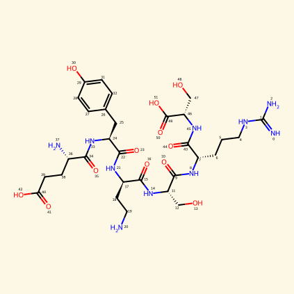 N=C(N)NCCC[C@H](NC(=O)[C@H](CO)NC(=O)[C@@H](CCN)NC(=O)[C@H](Cc1ccc(O)cc1)NC(=O)[C@@H](N)CCC(=O)O)C(=O)N[C@@H](CO)C(=O)O